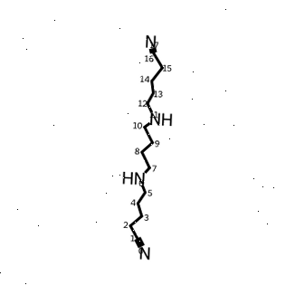 N#CCCCCNCCCCNCCCCC#N